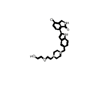 O=C1NCc2c(Cl)ccc(-c3cc4cc(CN5CCN(CCOCCO)CC5)ccc4[nH]3)c21